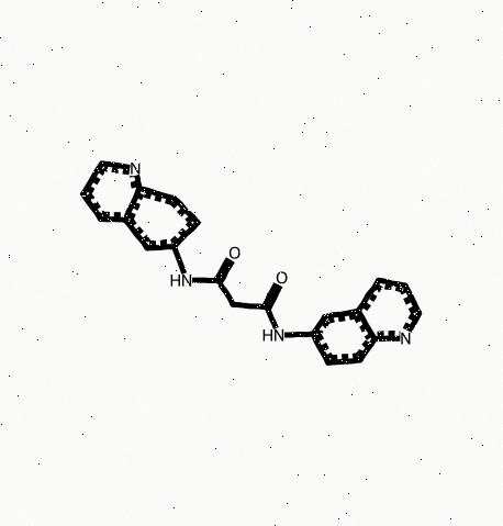 O=C(CC(=O)Nc1ccc2ncccc2c1)Nc1ccc2ncccc2c1